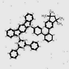 CC1(C)CC(C)(C)c2cc(C3=C(C4C=CC(n5c6ccccc6c6cc7c8ccccc8n(-c8nc(-c9ccccc9)nc(-c9ccccc9)n8)c7cc65)=CC4)C=CCC3)ccc21